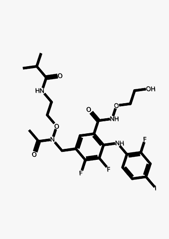 CC(=O)N(Cc1cc(C(=O)NOCCO)c(Nc2ccc(I)cc2F)c(F)c1F)OCCNC(=O)C(C)C